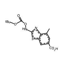 Cc1cc(C(=O)O)cc2sc(NOC(=O)OC(C)(C)C)nc12